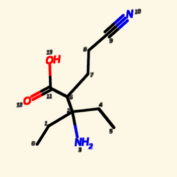 CCC(N)(CC)C(CCC#N)C(=O)O